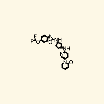 O=c1ccccn1-c1ccc(N[C@H]2CC[C@H](Nc3nc4ccc(OC(F)F)cc4o3)C2)nc1